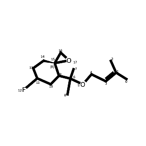 CC(C)=CCOC(C)(C)C1CC(F)CC[C@]12CO2